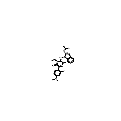 CCn1c(N[C@@H]2c3ccccc3C[C@@H]2OC(C)=O)c(C)nc(-c2ccc(N(C)C)cc2Cl)c1=O